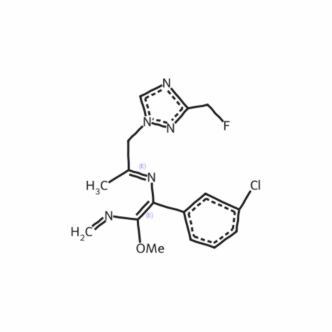 C=N/C(OC)=C(\N=C(/C)Cn1cnc(CF)n1)c1cccc(Cl)c1